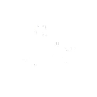 CCN(C)C(=O)Oc1cccc2c1C(CCc1nnn[nH]1)CN2.Cl